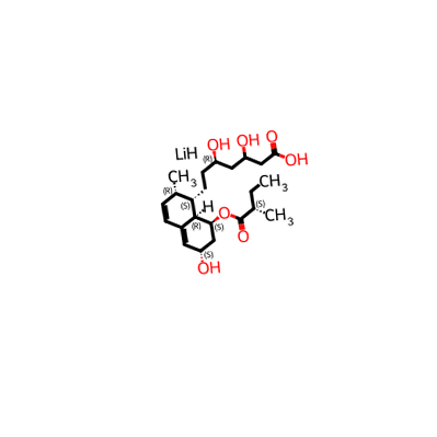 CC[C@H](C)C(=O)O[C@H]1C[C@H](O)C=C2C=C[C@H](C)[C@H](CC[C@@H](O)CC(O)CC(=O)O)[C@H]21.[LiH]